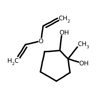 C=COC=C.CC1(O)CCCCC1O